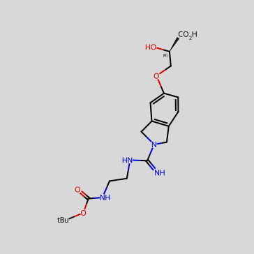 CC(C)(C)OC(=O)NCCNC(=N)N1Cc2ccc(OC[C@@H](O)C(=O)O)cc2C1